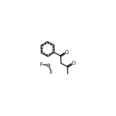 CC(=O)CC(=O)c1ccccc1.F[B]F